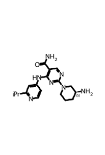 CC(C)c1cc(Nc2nc(N3CCC[C@H](N)C3)ncc2C(N)=O)ccn1